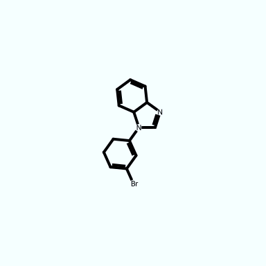 BrC1=CCCC(N2C=NC3C=CC=CC32)=C1